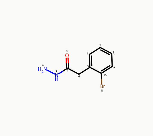 NNC(=O)Cc1ccccc1Br